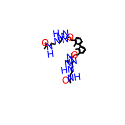 CC(=O)NCCNCc1ncnc(OCc2cccc(-c3cccc(COc4ncnc(CNCCNC(C)=O)n4)c3C)c2C)n1